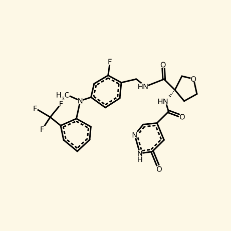 CN(c1ccc(CNC(=O)[C@]2(NC(=O)c3cn[nH]c(=O)c3)CCOC2)c(F)c1)c1ccccc1C(F)(F)F